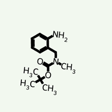 CN(Cc1ccccc1N)C(=O)OC(C)(C)C